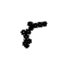 C1=Cc2c(n(-c3ccc(-c4cc5ccc6ccccc6c5c5ccccc45)cc3)c3ccc(-c4ccc5c(c4)c4ccccc4n5-c4ccc(-c5ccc(-c6ccccc6)cc5)cc4)cc23)CC1